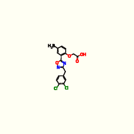 Bc1ccc(OCC(=O)O)c(-c2nc(Cc3ccc(Cl)c(Cl)c3)no2)c1